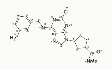 CNC(=O)C1CCC(n2cnc3c(NCc4cccc(C)c4)nc(Cl)nc32)C1